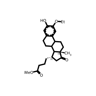 CCOc1cc2c(cc1O)CCC1C2CC[C@]2(C)C(=O)C[C@H](CCCC(=O)OC)C12